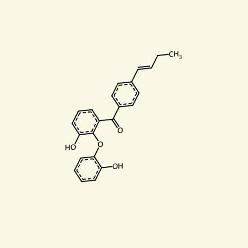 CCC=Cc1ccc(C(=O)c2cccc(O)c2Oc2ccccc2O)cc1